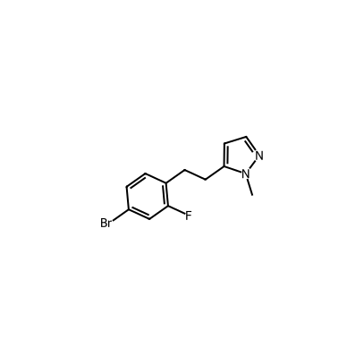 Cn1nccc1CCc1ccc(Br)cc1F